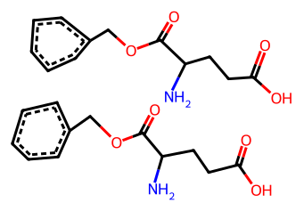 NC(CCC(=O)O)C(=O)OCc1ccccc1.NC(CCC(=O)O)C(=O)OCc1ccccc1